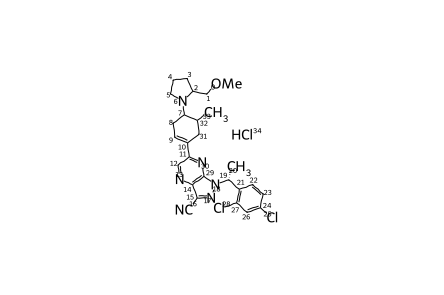 COCC1CCCN1C1CC=C(c2cnc3c(C#N)nn([C@H](C)c4ccc(Cl)cc4Cl)c3n2)CC1C.Cl